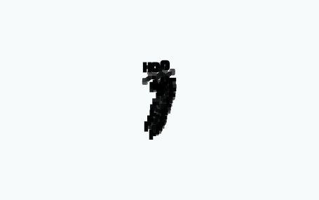 CCC(C(=O)O)=C(CC)N(F)S(=O)(=O)C(F)(F)C(F)(F)C(F)(F)C(F)(F)C(F)(F)C(F)(F)C(F)(F)C(F)(F)F